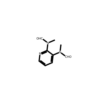 CN(C=O)c1cccnc1N(C)C=O